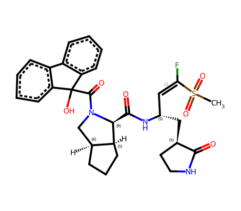 CS(=O)(=O)/C(F)=C\[C@H](C[C@@H]1CCNC1=O)NC(=O)[C@H]1[C@H]2CCC[C@H]2CN1C(=O)C1(O)c2ccccc2-c2ccccc21